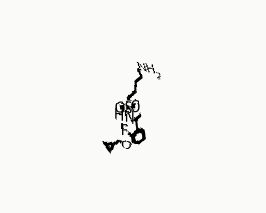 CC(NS(=O)(=O)CCCCCN)c1cccc(OCC2CC2)c1F